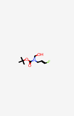 CC(C)(C)OC(=O)N(CO)CC=CF